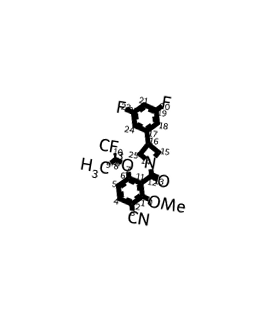 COc1c(C#N)ccc(O[C@@H](C)C(F)(F)F)c1C(=O)N1CC(c2cc(F)cc(F)c2)C1